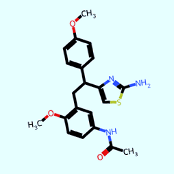 COc1ccc(C(Cc2cc(NC(C)=O)ccc2OC)c2csc(N)n2)cc1